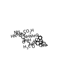 COc1ccc2c3c1O[C@H]1C(OC(=O)N(C)CCNC(=O)[C@@H](CCCNC(=N)N)NC(=O)CC(=O)O)=CC[C@@]4(O)[C@@H](C2)N(CC2CC2)CC[C@]314